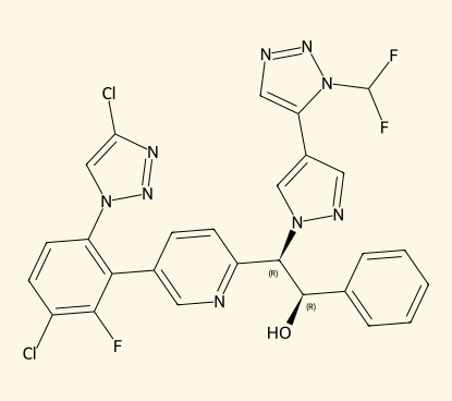 O[C@H](c1ccccc1)[C@@H](c1ccc(-c2c(-n3cc(Cl)nn3)ccc(Cl)c2F)cn1)n1cc(-c2cnnn2C(F)F)cn1